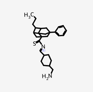 CCCC1C2CC3(C(=S)/N=C/C4CCC(CN)CC4)CC1CC(c1ccccc1)(C2)C3